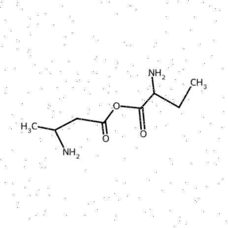 CCC(N)C(=O)OC(=O)CC(C)N